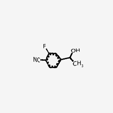 CC(O)c1ccc(C#N)c(F)c1